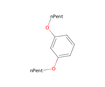 [CH2]CCCCOc1cccc(OCCCCC)c1